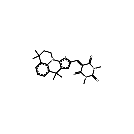 CN1C(=O)C(=Cc2cc3c(s2)N2CCC(C)(C)c4cccc(c42)C3(C)C)C(=O)N(C)C1=O